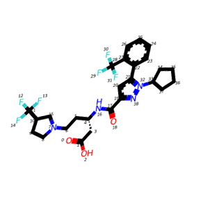 O=C(O)C[C@H](CCN1CCC(C(F)(F)F)C1)NC(=O)c1cc(-c2ccccc2C(F)(F)F)n(C2CCCC2)n1